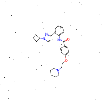 O=C(Nc1ccccc1-c1ccn(C2CCC2)n1)c1ccc(OCCN2CCCCC2)cc1